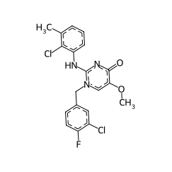 COc1cn(Cc2ccc(F)c(Cl)c2)c(Nc2cccc(C)c2Cl)nc1=O